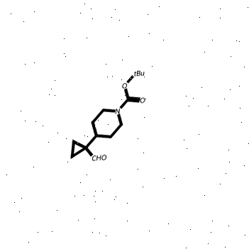 CC(C)(C)OC(=O)N1CCC(C2(C=O)CC2)CC1